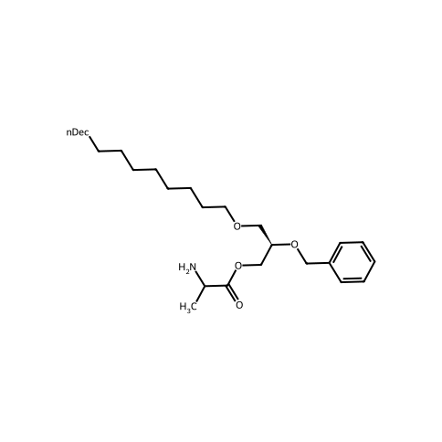 CCCCCCCCCCCCCCCCCCOC[C@H](COC(=O)C(C)N)OCc1ccccc1